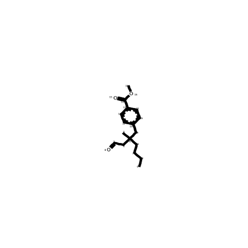 CCCCC(C)(CC=O)Cc1ccc(C(=O)OC)cc1